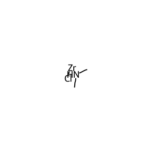 CNC.[Cl][Zr]